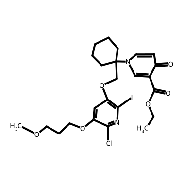 CCOC(=O)c1cn(C2(COc3cc(OCCCOC)c(Cl)nc3I)CCCCC2)ccc1=O